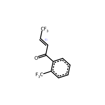 O=C(/C=C/C(F)(F)F)c1ccccc1C(F)(F)F